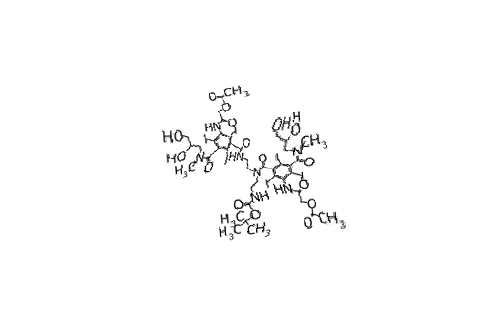 CC(=O)OCC(=O)Nc1c(I)c(C(=O)NCCN(CCNC(=O)OC(C)(C)C)C(=O)c2c(I)c(NC(=O)COC(C)=O)c(I)c(C(=O)N(C)CC(O)CO)c2I)c(I)c(C(=O)N(C)CC(O)CO)c1I